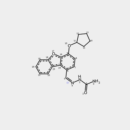 NC(=O)N/N=C\c1ccc(OC2CCCC2)c2oc3ccccc3c12